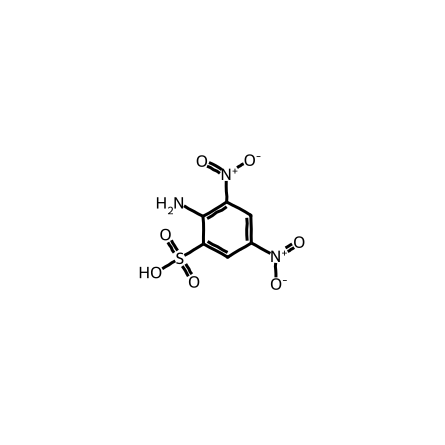 Nc1c([N+](=O)[O-])cc([N+](=O)[O-])cc1S(=O)(=O)O